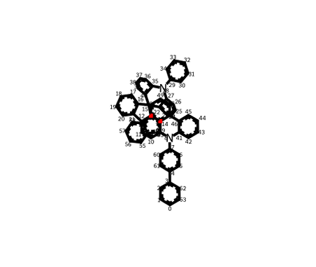 c1ccc(-c2ccc(N(c3ccc4c(c3)C3(c5ccccc5-4)c4ccccc4N(c4ccccc4)c4ccccc43)c3ccccc3-c3cccc4c3sc3ccccc34)cc2)cc1